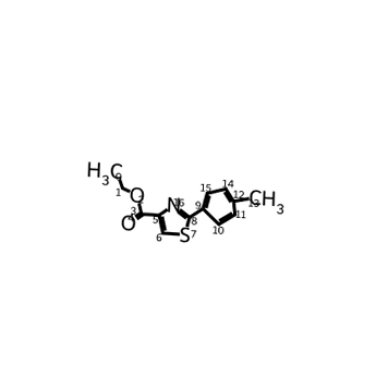 CCOC(=O)c1csc(-c2ccc(C)cc2)n1